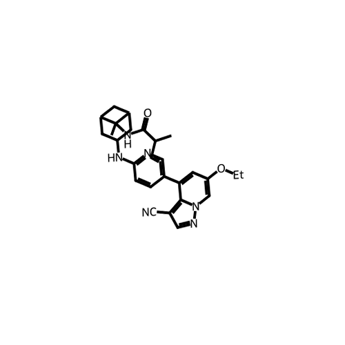 C=CC(C)C(=O)NC1(C)C2CC(Nc3ccc(-c4cc(OCC)cn5ncc(C#N)c45)cn3)CC1C2